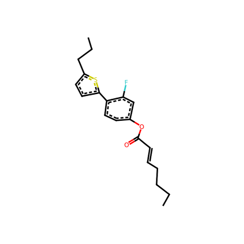 CCCCC=CC(=O)Oc1ccc(-c2ccc(CCC)s2)c(F)c1